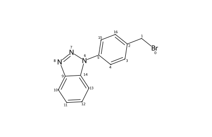 BrCc1ccc(-n2nnc3ccccc32)cc1